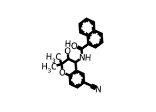 CC1(C)Oc2ccc(C#N)cc2C(NC(=O)c2cccc3ccccc23)C1O